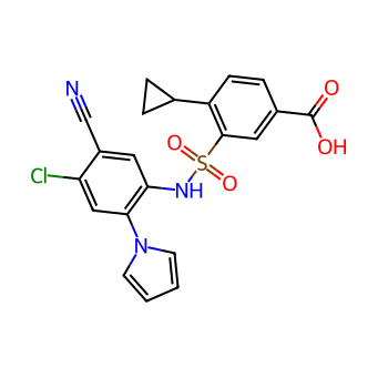 N#Cc1cc(NS(=O)(=O)c2cc(C(=O)O)ccc2C2CC2)c(-n2cccc2)cc1Cl